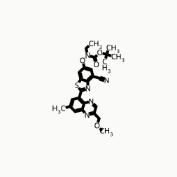 CCN(Oc1cc(C#N)c2nc(-c3cc(C)cc4nc(COC)cnc34)sc2c1)C(=O)OC(C)(C)C